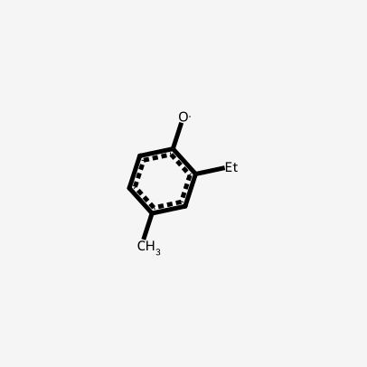 CCc1cc(C)ccc1[O]